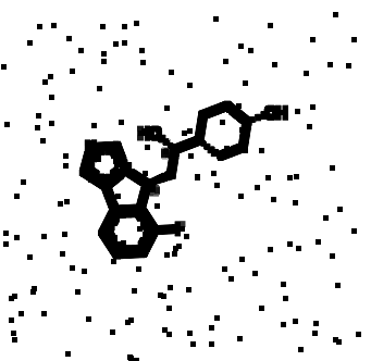 O[C@@H](C[C@H]1c2c(F)cccc2-c2cncn21)[C@H]1CC[C@@H](O)CC1